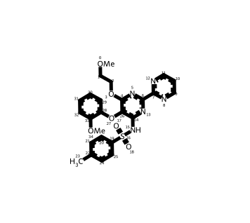 COCCOc1nc(-c2ncccn2)nc(NS(=O)(=O)c2ccc(C)cc2)c1Oc1ccccc1OC